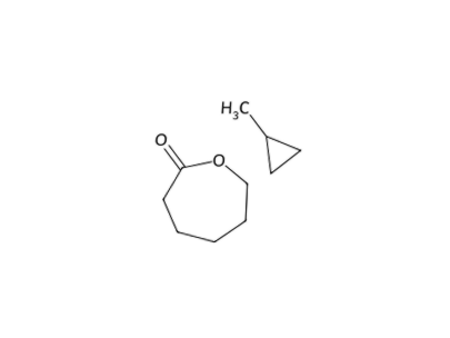 CC1CC1.O=C1CCCCCO1